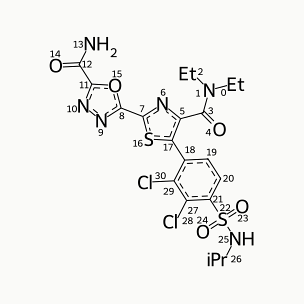 CCN(CC)C(=O)c1nc(-c2nnc(C(N)=O)o2)sc1-c1ccc(S(=O)(=O)NC(C)C)c(Cl)c1Cl